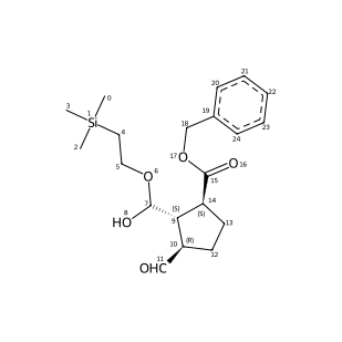 C[Si](C)(C)CCOC(O)[C@H]1[C@H](C=O)CC[C@@H]1C(=O)OCc1ccccc1